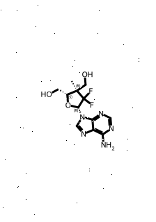 C[C@@]1(CO)[C@@H](CO)O[C@@H](n2cnc3c(N)ncnc32)C1(F)F